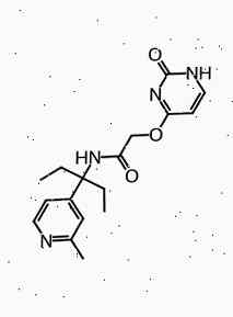 CCC(CC)(NC(=O)COc1cc[nH]c(=O)n1)c1ccnc(C)c1